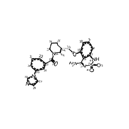 NC1=NS(=O)(=O)Nc2cccc(OC[C@H]3CCCN(C(=O)c4cccc(-n5ccnc5)c4)C3)c21